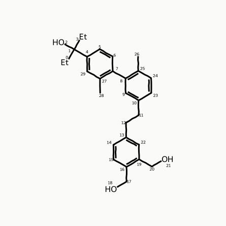 CCC(O)(CC)c1ccc(-c2cc(CCc3ccc(CO)c(CO)c3)ccc2C)c(C)c1